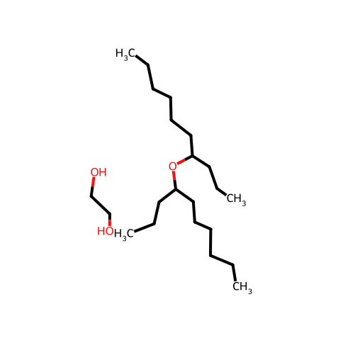 CCCCCCC(CCC)OC(CCC)CCCCCC.OCCO